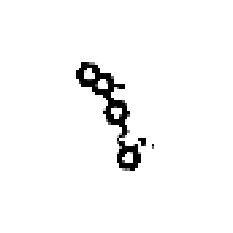 Cc1cc2ccccc2cc1-c1ccc(COc2ccccc2N)cc1